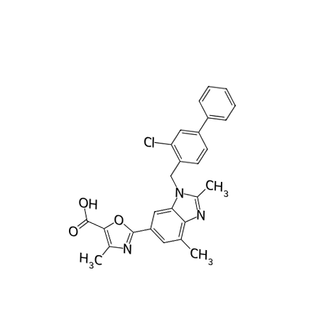 Cc1nc(-c2cc(C)c3nc(C)n(Cc4ccc(-c5ccccc5)cc4Cl)c3c2)oc1C(=O)O